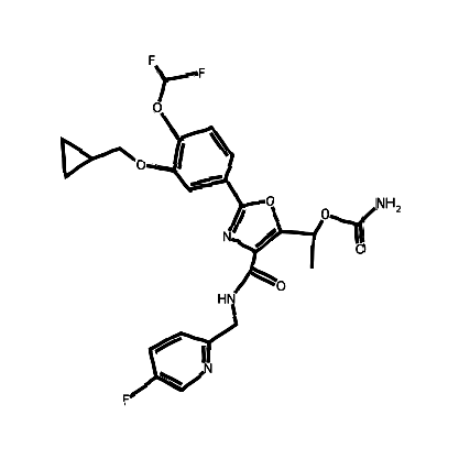 CC(OC(N)=O)c1oc(-c2ccc(OC(F)F)c(OCC3CC3)c2)nc1C(=O)NCc1ccc(F)cn1